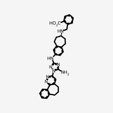 Nc1nc(Nc2ccc3c(c2)CC[C@@H](NCc2ccccc2C(=O)O)CC3)nn1-c1cc2c(nn1)-c1ccccc1CCC2